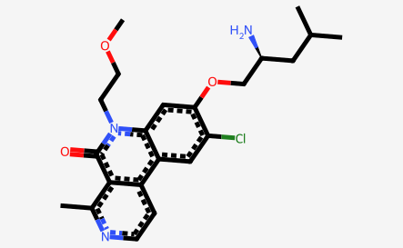 COCCn1c(=O)c2c(C)nccc2c2cc(Cl)c(OC[C@@H](N)CC(C)C)cc21